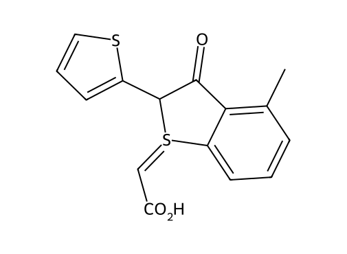 Cc1cccc2c1C(=O)C(c1cccs1)S2=CC(=O)O